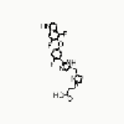 O=C(O)CCn1ccc(Cc2cnc(-c3cc(Oc4c(F)cc5[nH]ccc5c4F)ccc3F)[nH]2)n1